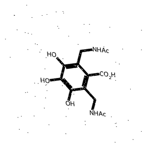 CC(=O)NCc1c(O)c(O)c(O)c(CNC(C)=O)c1C(=O)O